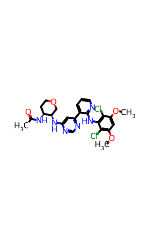 COc1cc(OC)c(Cl)c(Nc2ncccc2-c2cc(N[C@@H]3COCC[C@@H]3NC(C)=O)ncn2)c1Cl